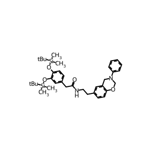 CC(C)(C)[Si](C)(C)Oc1ccc(CC(=O)NCCc2ccc3c(c2)CN(c2ccccc2)CO3)cc1O[Si](C)(C)C(C)(C)C